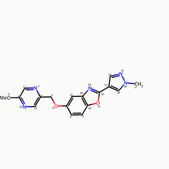 COc1cnc(COc2ccc3oc(-c4cnn(C)c4)nc3c2)cn1